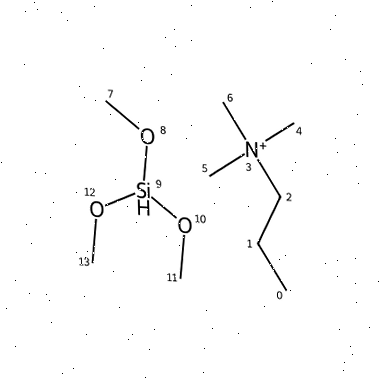 CCC[N+](C)(C)C.CO[SiH](OC)OC